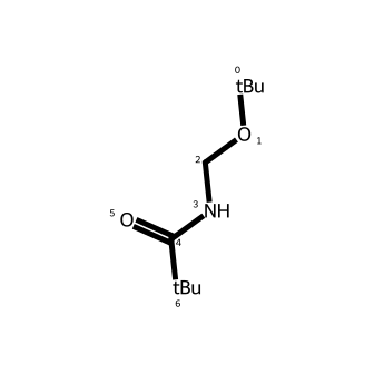 CC(C)(C)OCNC(=O)C(C)(C)C